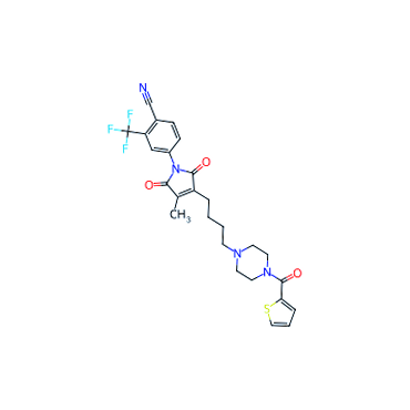 CC1=C(CCCCN2CCN(C(=O)c3cccs3)CC2)C(=O)N(c2ccc(C#N)c(C(F)(F)F)c2)C1=O